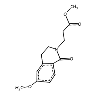 COC(=O)CCN1CCc2cc(OC)ccc2C1=O